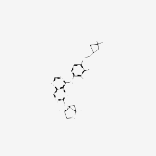 Fc1c(Nc2ncnc3cnc(N4C[C@@H]5C[C@H]4CN5)nc23)ccc(OCC2CC(F)(F)C2)c1Cl